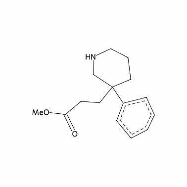 COC(=O)CCC1(c2ccccc2)CCCNC1